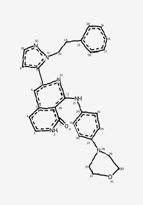 O=c1[nH]ccc2cc(-c3ccnn3CCc3ccccc3)nc(Nc3ccc(N4CCOCC4)cc3)c12